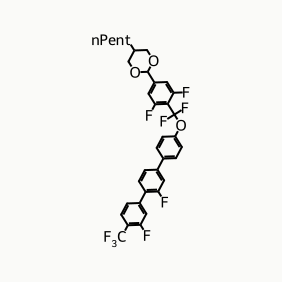 CCCCCC1COC(c2cc(F)c(C(F)(F)Oc3ccc(-c4ccc(-c5ccc(C(F)(F)F)c(F)c5)c(F)c4)cc3)c(F)c2)OC1